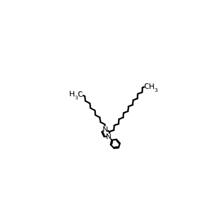 CCCCCCCCCCCCCCCC1N(CCCCCCCCCC)C=CN1c1ccccc1